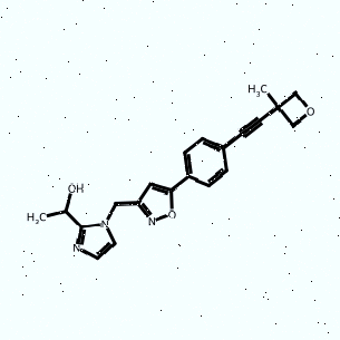 CC(O)c1nccn1Cc1cc(-c2ccc(C#CC3(C)COC3)cc2)on1